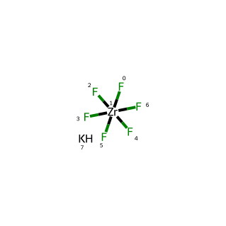 [F][Zr]([F])([F])([F])([F])[F].[KH]